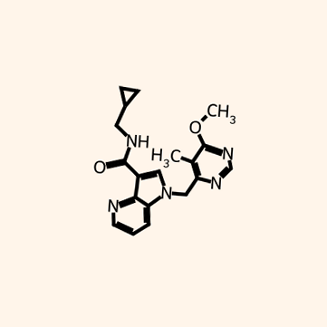 COc1ncnc(Cn2cc(C(=O)NCC3CC3)c3ncccc32)c1C